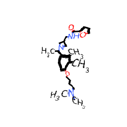 Cc1c(OCCCCN(C)C)ccc(C(C)N2CC(CNC(=O)c3ccco3)C2)c1C